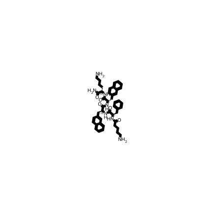 NCCCCC(=O)N[C@H](Cc1ccccc1)C(=O)N[C@@H](Cc1ccc2ccccc2c1)C(=O)N[C@@H](Cc1ccc2ccccc2c1)C(=O)N[C@@H](CCCCN)C(N)=O